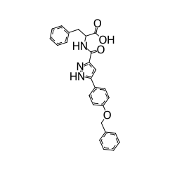 O=C(NC(Cc1ccccc1)C(=O)O)c1cc(-c2ccc(OCc3ccccc3)cc2)[nH]n1